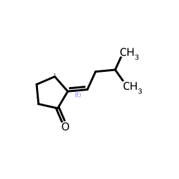 CC(C)C/C=C1\[CH]CCC1=O